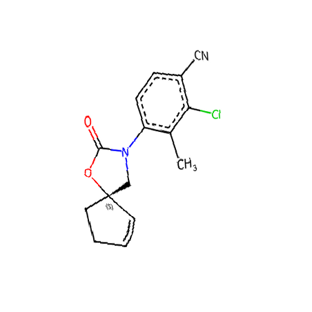 Cc1c(N2C[C@]3(C=CCC3)OC2=O)ccc(C#N)c1Cl